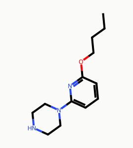 CCCCOc1cccc(N2CCNCC2)n1